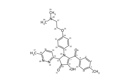 Cc1ccc(C(=O)C2=C(O)C(=O)C(c3ccc(C)nn3)N2c2ccc(OCCN(C)C)cc2)cc1